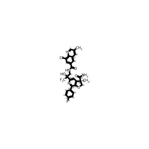 Cc1cnc2c(Cl)cc(C(=O)NCC(O)(c3cc4c(c(-c5ccc(F)cc5)n3)OC[C@]4(C)C(N)=O)C(F)(F)F)cc2c1